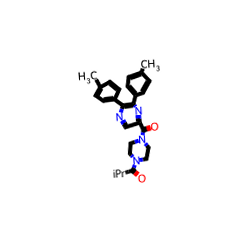 Cc1ccc(-c2ncc(C(=O)N3CCN(C(=O)C(C)C)CC3)nc2-c2ccc(C)cc2)cc1